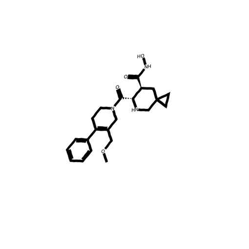 COCC1=C(c2ccccc2)CCN(C(=O)[C@H]2NCC3(CC3)C[C@@H]2C(=O)NO)C1